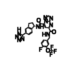 O=C(NCc1ccc(F)c(OC(F)(F)F)c1)c1cc(C(=O)N[C@H]2CCc3cc(-c4nnn[nH]4)ccc32)n2ncnc2n1